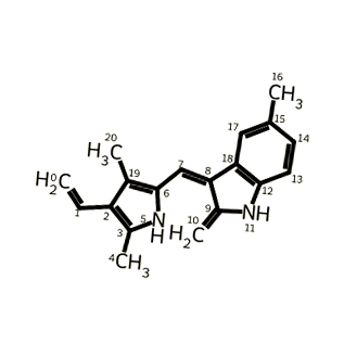 C=Cc1c(C)[nH]c(/C=c2\c(=C)[nH]c3ccc(C)cc23)c1C